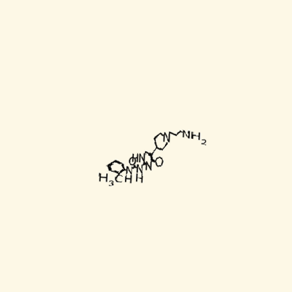 Cc1ccccc1NC(=O)Nc1nc(=O)c(C2CCN(CCCN)CC2)c[nH]1